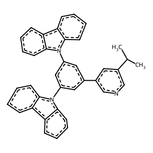 CC(C)c1cncc(-c2cc(-n3c4ccccc4c4ccccc43)cc(-n3c4ccccc4c4ccccc43)c2)c1